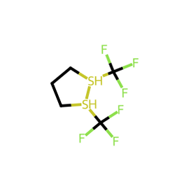 FC(F)(F)[SH]1CCC[SH]1C(F)(F)F